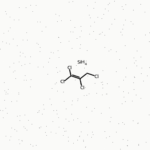 ClCC(Cl)=C(Cl)Cl.[SiH4]